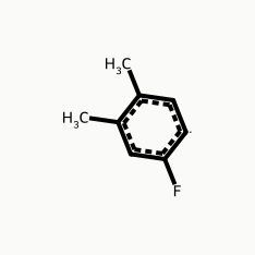 Cc1c[c]c(F)cc1C